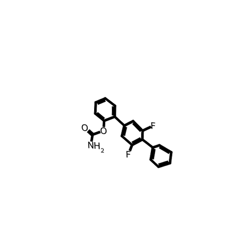 NC(=O)Oc1ccccc1-c1cc(F)c(-c2ccccc2)c(F)c1